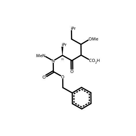 CNN(C(=O)OCc1ccccc1)[C@H](C(=O)C(C(=O)O)C(CC(C)C)OC)C(C)C